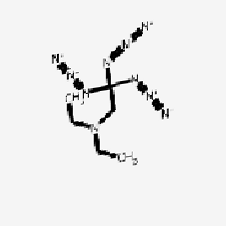 CCN(CC)CC(N=[N+]=[N-])(N=[N+]=[N-])N=[N+]=[N-]